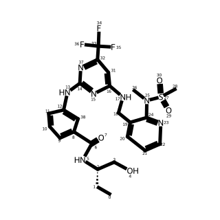 CC[C@@H](CO)NC(=O)c1cccc(Nc2nc(NCc3cccnc3N(C)S(C)(=O)=O)cc(C(F)(F)F)n2)c1